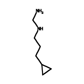 NCNCCCC1CC1